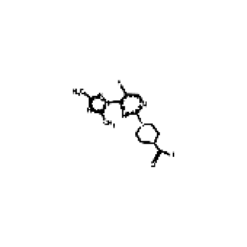 Cc1nc(C)n(-c2nc(N3CCC(C(=O)Cl)CC3)ncc2F)n1